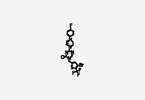 O=c1nc(N2CCN(c3ccc(F)cc3)CC2)ncn1Cc1cc(Br)c(C(F)(F)F)s1